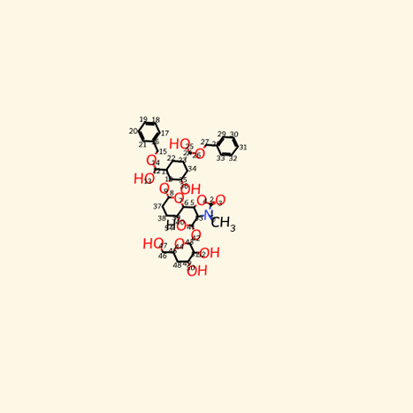 CN1C(=O)OC2C3O[C@H](O[C@@H]4C(C(O)OCc5ccccc5)C[C@H](C(O)OCc5ccccc5)C[C@H]4O)CC[C@@H]3OC(O[C@H]3OC(CO)C[C@H](O)C3O)C21